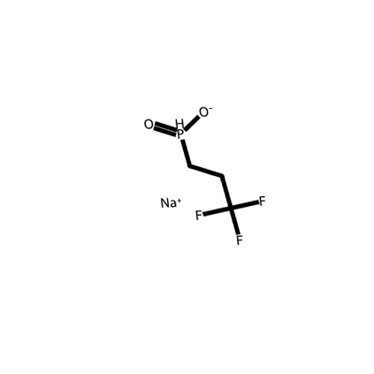 O=[PH]([O-])CCC(F)(F)F.[Na+]